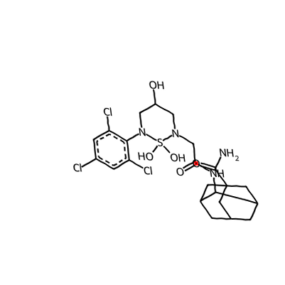 NC(=O)C12CC3CC(C1)C(NC(=O)CN1CC(O)CN(c4c(Cl)cc(Cl)cc4Cl)S1(O)O)C(C3)C2